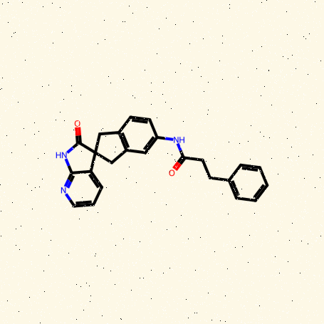 O=C(CCc1ccccc1)Nc1ccc2c(c1)CC1(C2)C(=O)Nc2ncccc21